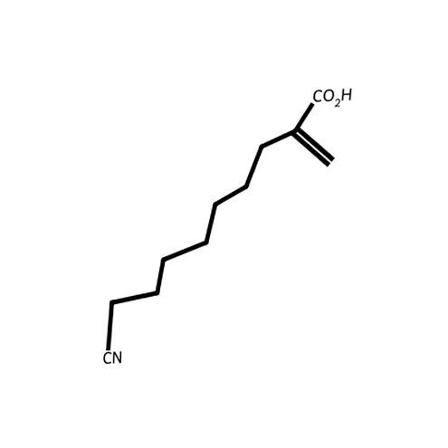 C=C(CCCCCCCC#N)C(=O)O